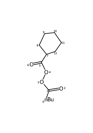 CCCCC(=O)OOC(=O)C1CCCCC1